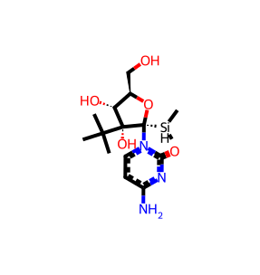 C[SiH](C)[C@@]1(n2ccc(N)nc2=O)O[C@H](CO)[C@@H](O)[C@]1(O)C(C)(C)C